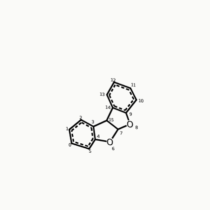 c1ccc2c(c1)OC1Oc3ccccc3C21